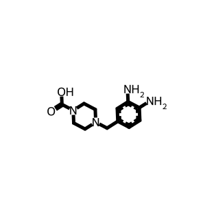 Nc1ccc(CN2CCN(C(=O)O)CC2)cc1N